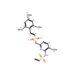 C=CS(=O)(=O)Nc1nc(CS(=O)(=O)/C=C/c2c(OC)cc(OC)cc2OC)ccc1OC